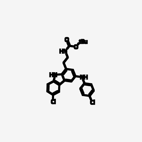 CC(C)(C)OC(=O)NCCc1cc(Nc2ccc(Cl)cc2)cc2c1[nH]c1ccc(Cl)cc12